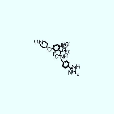 CCO[C@H](C(=O)NCc1ccc(C(=N)N)cc1)c1c(F)ccc(OC2CCNCC2)c1F.Cl.Cl